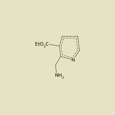 CCOC(=O)c1cccnc1CN